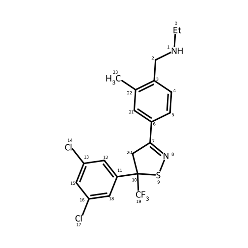 CCNCc1ccc(C2=NSC(c3cc(Cl)cc(Cl)c3)(C(F)(F)F)C2)cc1C